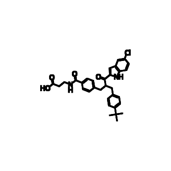 CC(C)(C)c1ccc(CC(Cc2ccc(C(=O)NCCC(=O)O)cc2)C(=O)c2cc3cc(Cl)ccc3[nH]2)cc1